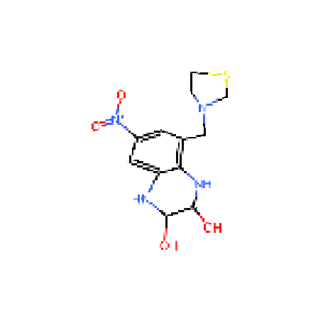 O=[N+]([O-])c1cc(CN2CCSC2)c2c(c1)NC(O)C(O)N2